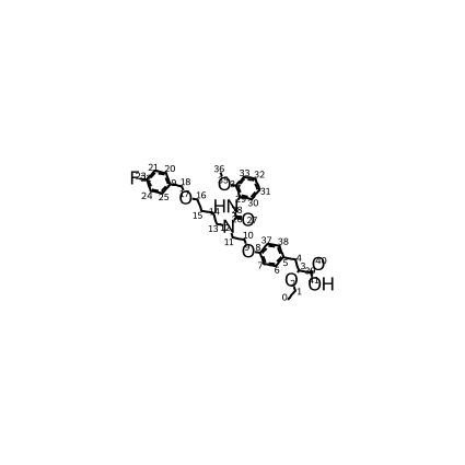 CCOC(Cc1ccc(OCCN(CCCCOCc2ccc(F)cc2)C(=O)Nc2ccccc2OC)cc1)C(=O)O